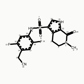 CN1CCc2c(S(=O)(=O)Nc3cc(F)c(CC#N)cc3F)c[nH]c2C1=O